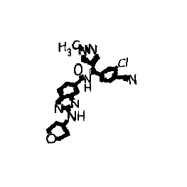 Cn1cc([C@@H](NC(=O)c2ccc3cnc(NC4CCOCC4)nc3c2)c2ccc(C#N)c(Cl)c2)cn1